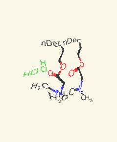 CCCCCCCCCCCCOC(=O)CN(C)C.CCCCCCCCCCCCOC(=O)CN(C)C.Cl.Cl